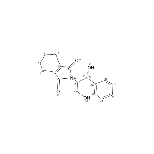 O=C1C2=C(SCCS2)C(=O)N1C(CO)[C@H](O)c1ccccc1